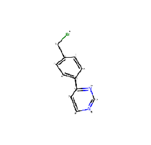 BrCc1ccc(-c2ccncn2)cc1